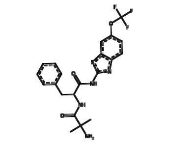 CC(C)(N)C(=O)NC(Cc1ccccc1)C(=O)Nc1nc2ccc(OC(F)(F)F)cc2s1